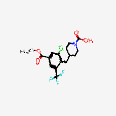 COC(=O)c1cc(Cl)c(CC2CCN(C(=O)O)CC2)c(C(F)(F)F)c1